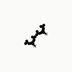 N#Cc1cc2c3cc4ccc(N(c5ccccc5)c5ccccc5)cc4cc3n3c4cc5cc(N(c6ccccc6)c6ccc(-c7ccc8c(c7)c7ccccc7n8-c7ccc8cc9c%10cc(C#N)cc%11c%12cc%13ccc(-n%14c%15ccccc%15c%15ccccc%15%14)cc%13cc%12n(c9cc8c7)c%11%10)cc6)ccc5cc4c(c1)c23